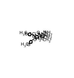 COc1ccc(COc2ccc(C(=O)N(C/C(=N/N)NN)C(=O)OC(C)(C)C)c(Cl)c2OCc2ccc(OC)cc2)cc1